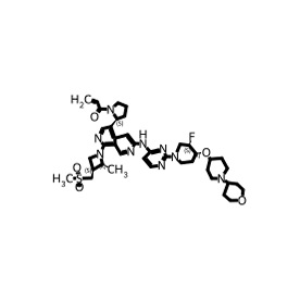 C=CC(=O)N1CCC[C@H]1c1cnc(N2C[C@H](CS(C)(=O)=O)[C@H]2C)c2cnc(Nc3ccnc(N4CC[C@@H](OC5CCN(C6CCOCC6)CC5)[C@@H](F)C4)n3)cc12